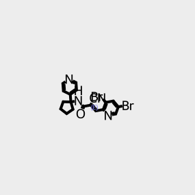 N#C/C(=C\c1ncc(Br)cc1Br)C(=O)NC1(c2ccncc2)CCCC1